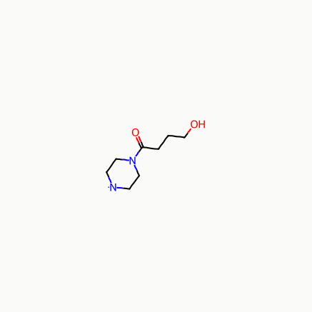 O=C(CCCO)N1CC[N]CC1